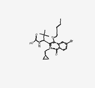 CCCCOc1c(C(NC(=O)O)C(C)(C)C)n(CC2CC2)c(=O)c2ccc(Br)cc12